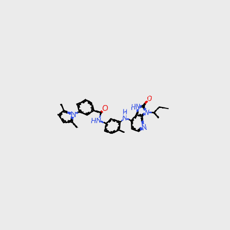 CCC(C)n1c(=O)[nH]c2c(Nc3cc(NC(=O)c4cccc(-n5c(C)ccc5C)c4)ccc3C)ccnc21